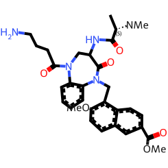 CN[C@@H](C)C(=O)NC1CN(C(=O)CCCN)c2ccccc2N(Cc2c(OC)ccc3cc(C(=O)OC)ccc23)C1=O